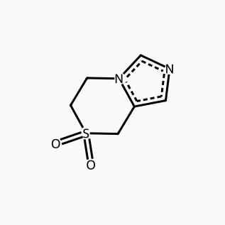 O=S1(=O)CCn2cncc2C1